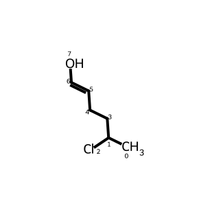 CC(Cl)CCC=CO